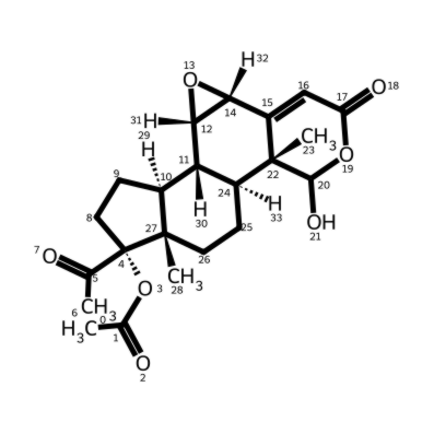 CC(=O)O[C@]1(C(C)=O)CC[C@H]2[C@@H]3[C@@H]4O[C@@H]4C4=CC(=O)OC(O)[C@]4(C)[C@H]3CC[C@@]21C